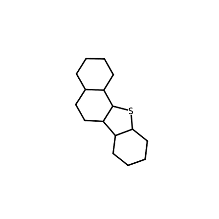 C1CCC2C(C1)CCC1C3CCCCC3SC21